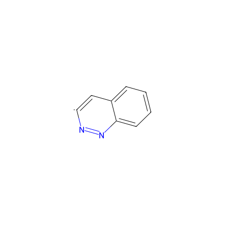 [c]1cc2ccccc2nn1